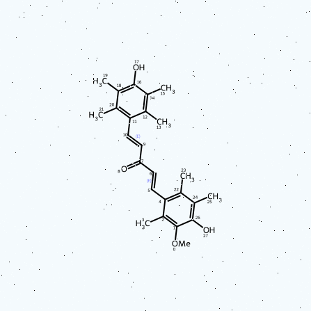 COc1c(C)c(/C=C/C(=O)/C=C/c2c(C)c(C)c(O)c(C)c2C)c(C)c(C)c1O